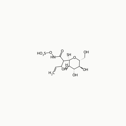 C=CC(O)C(C(=O)NOS(=O)(=O)O)[C@@]1(S)O[C@H](CO)[C@@H](O)[C@H](O)[C@H]1O